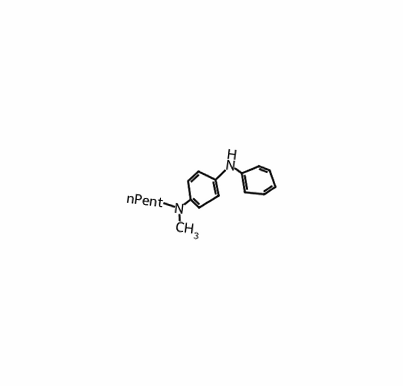 CCCCCN(C)c1ccc(Nc2ccccc2)cc1